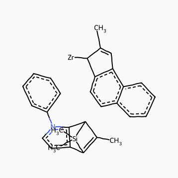 CC1=C2c3ccn(-c4ccccc4)c3C1[Si]2(C)C.CC1=Cc2c(ccc3ccccc23)[CH]1[Zr]